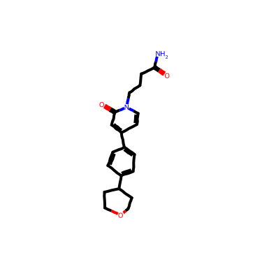 NC(=O)CCCn1ccc(-c2ccc(C3CCOCC3)cc2)cc1=O